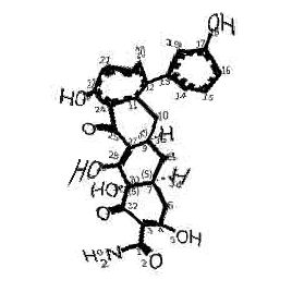 NC(=O)C1=C(O)C[C@@H]2C[C@@H]3Cc4c(-c5cccc(O)c5)ccc(O)c4C(=O)C3=C(O)[C@]2(O)C1=O